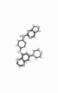 c1cnc2c(OC3CCC(Nc4ncc5c(n4)COC5)CC3)cc(N3CCOCC3)cc2n1